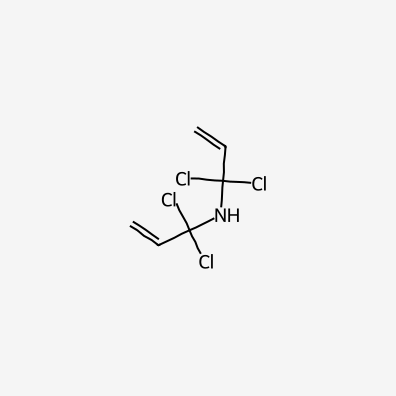 C=CC(Cl)(Cl)NC(Cl)(Cl)C=C